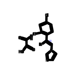 Clc1ccc(/C(Br)=C/n2ccnc2)c(Cl)c1.O=C(O)C(=O)O